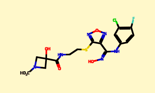 O=C(O)N1CC(O)(C(=O)NCCSc2nonc2/C(=N\O)Nc2ccc(F)c(Cl)c2)C1